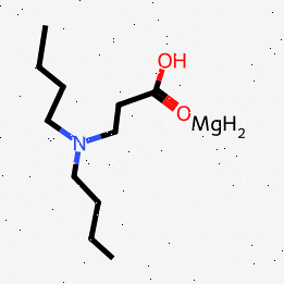 CCCCN(CCCC)CCC(=O)O.[MgH2]